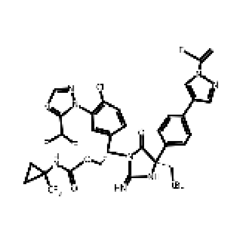 C=C(F)n1cc(-c2ccc([C@@]3(CC(C)(C)C)NC(=N)N([C@H](COC(=O)NC4(C(F)(F)F)CC4)c4ccc(Cl)c(-n5ncnc5C(F)F)c4)C3=O)cc2)cn1